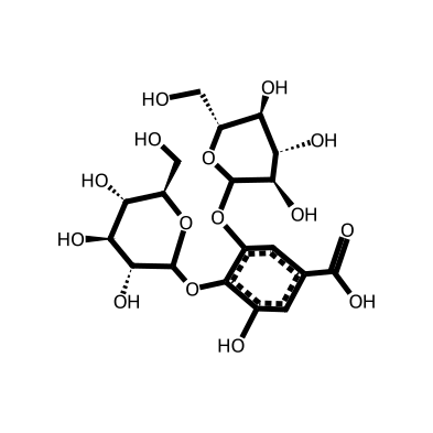 O=C(O)c1cc(O)c(OC2O[C@H](CO)[C@@H](O)[C@H](O)[C@H]2O)c(OC2O[C@H](CO)[C@@H](O)[C@H](O)[C@H]2O)c1